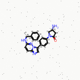 C[C@@H](Nc1ccc2ncc(-c3ccc(N4C[C@@H](N)CC4=O)cc3)n2n1)c1ccccc1